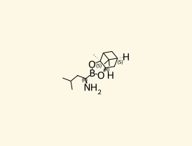 CC(C)C[C@H](N)B1O[C@@H]2C[C@@H]3CC(C3(C)C)[C@]2(C)O1